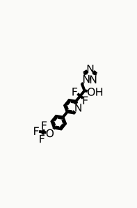 OC(Cn1cncn1)C(F)(F)c1ccc(-c2ccc(OC(F)(F)F)cc2)cn1